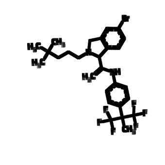 C=C(Nc1ccc(C(C)(C(F)(F)F)C(F)(F)F)cc1)C1c2ccc(Br)cc2CN1CCCC(C)(C)C